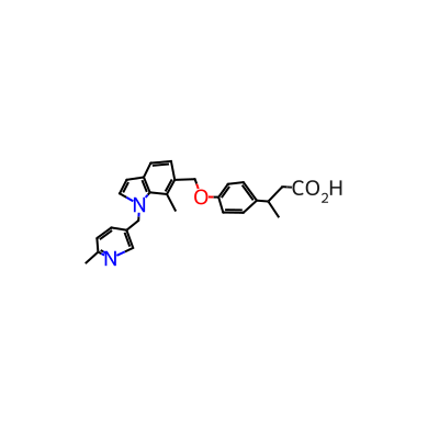 Cc1ccc(Cn2ccc3ccc(COc4ccc(C(C)CC(=O)O)cc4)c(C)c32)cn1